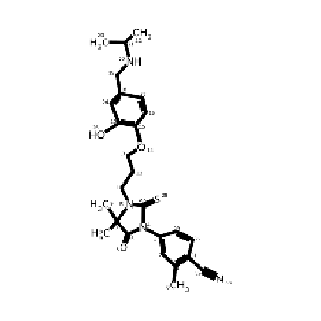 Cc1cc(N2C(=O)C(C)(C)N(CCCOc3ccc(CNC(C)C)cc3O)C2=S)ccc1C#N